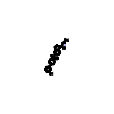 CC(=O)/C=C/C(=O)N1CCc2cc(S(=O)(=O)N3CCN(c4cccc(Cl)c4)CC3)ccc21